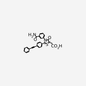 NC(=O)c1cccc(N2C(=O)[C@@H](CC(=O)O)S[C@H]2c2ccc(C#Cc3ccccc3)cc2)c1